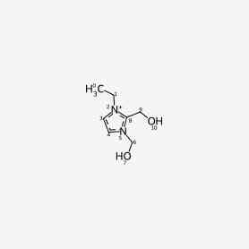 CC[n+]1ccn(CO)c1CO